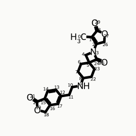 CC1=C(N2CC3(CCC(NCCc4ccc5c(c4)COC5=O)CC3)C2=O)COC1=O